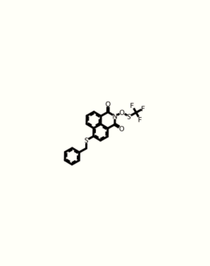 O=C1c2cccc3c(SCc4ccccc4)ccc(c23)C(=O)N1OSC(F)(F)F